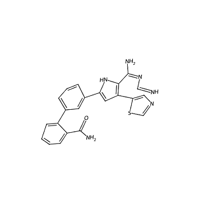 N=C/N=C(/N)c1[nH]c(-c2cccc(-c3ccccc3C(N)=O)c2)cc1-c1cncs1